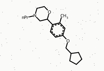 CCCN1CCOC(c2ccc(OCC3CCCC3)cc2C)C1